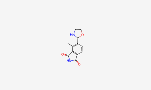 Cc1c(C2NCCO2)ccc2c1C(=O)NC2=O